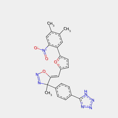 Cc1cc(-c2ccc(C=C3ON=NC3(C)c3ccc(-c4nnn[nH]4)cc3)o2)c([N+](=O)[O-])cc1C